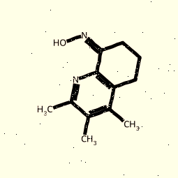 Cc1nc2c(c(C)c1C)CCC/C2=N/O